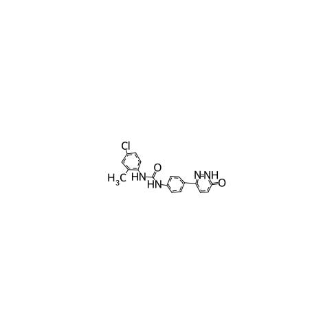 Cc1cc(Cl)ccc1NC(=O)Nc1ccc(-c2ccc(=O)[nH]n2)cc1